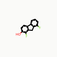 Oc1ccc2c(c1F)Cc1c(F)cccc1-2